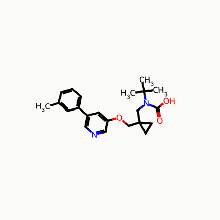 Cc1cccc(-c2cncc(OCC3(CN(C(=O)O)C(C)(C)C)CC3)c2)c1